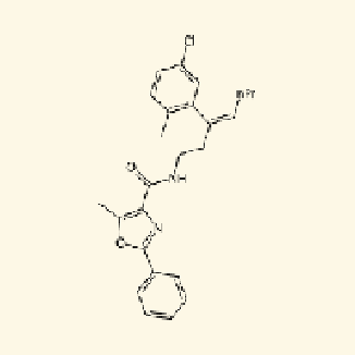 CCC/C=C(/CCNC(=O)c1nc(-c2ccccc2)oc1C)c1cc(Cl)ccc1C